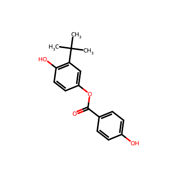 CC(C)(C)c1cc(OC(=O)c2ccc(O)cc2)ccc1O